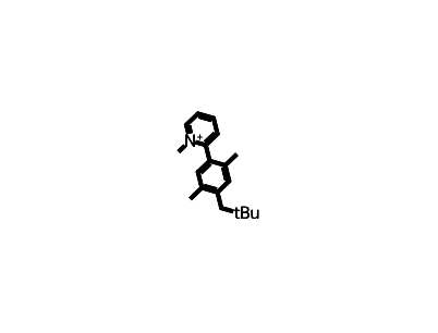 Cc1cc(-c2cccc[n+]2C)c(C)cc1CC(C)(C)C